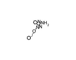 Nc1nc2ccccc2c2c1ncn2CCOCCCc1ccccc1